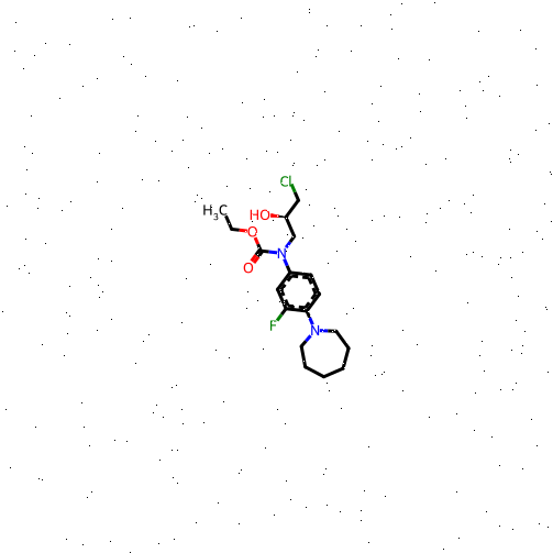 CCOC(=O)N(C[C@@H](O)CCl)c1ccc(N2CCCCCC2)c(F)c1